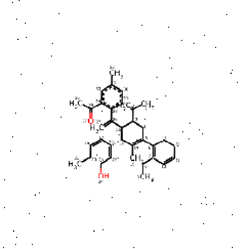 C=C(C)C1CC(C2=C(CC)C=CCC2)=C(C)[C@H](C(/C=C\CC)=C/CO)C1C(=C)c1ccc(C)cc1C(C)=O